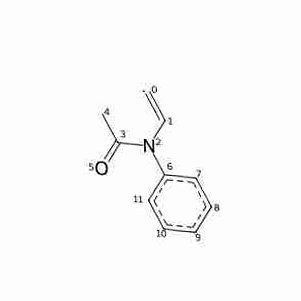 [CH]=CN(C(C)=O)c1ccccc1